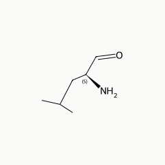 CC(C)C[C@H](N)C=O